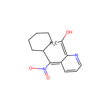 C/C(O)=c1/nccc/c1=C(/C1CCCCC1)[N+](=O)[O-]